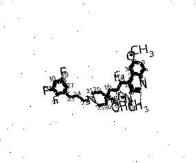 COc1ccc2ncc(N(C)C)c([C@@H](F)CCC3(CO)CCN(CCCc4cc(F)cc(F)c4F)CC3)c2c1